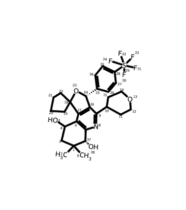 CC1(C)CC(O)c2c(nc(C3CCOCC3)c3c2C2(CCCC2)O[C@@H]3c2ccc(S(F)(F)(F)(F)F)cc2)[C@@H]1O